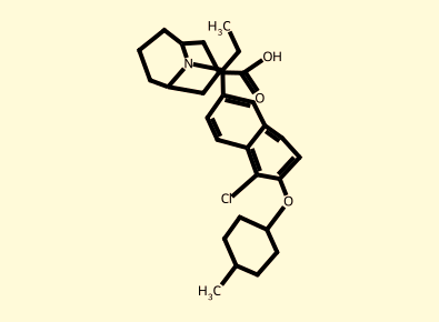 CCC(c1ccc2c(Cl)c(OC3CCC(C)CC3)ccc2c1)N1C2CCCC1CC(C(=O)O)C2